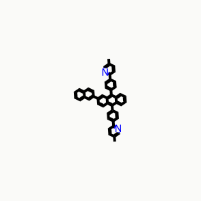 Cc1ccc(-c2ccc(-c3c4ccccc4c(-c4ccc(-c5ccc(C)cn5)cc4)c4cc(-c5ccc6ccccc6c5)ccc34)cc2)nc1